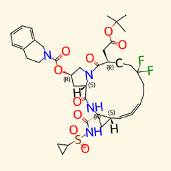 CC(C)(C)OC(=O)C[C@H]1CCC(F)(F)CCC=C=C[C@@H]2C[C@@]2(C(=O)NS(=O)(=O)C2CC2)NC(=O)[C@@H]2C[C@@H](OC(=O)N3CCc4ccccc4C3)CN2C1=O